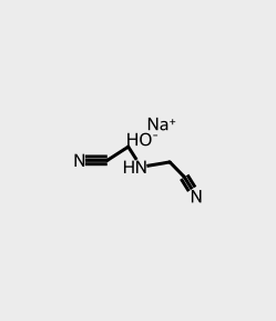 N#CCNCC#N.[Na+].[OH-]